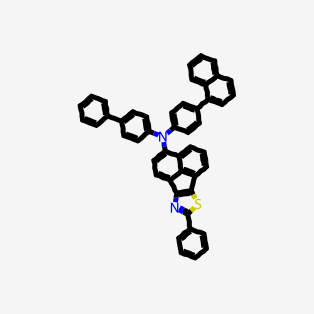 c1ccc(-c2ccc(N(c3ccc(-c4cccc5ccccc45)cc3)c3ccc4c5c(cccc35)-c3sc(-c5ccccc5)nc3-4)cc2)cc1